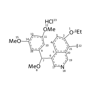 CCOc1ccc2c(C(OC)c3cc(OC)cc(OC)c3)cncc2c1I.Cl